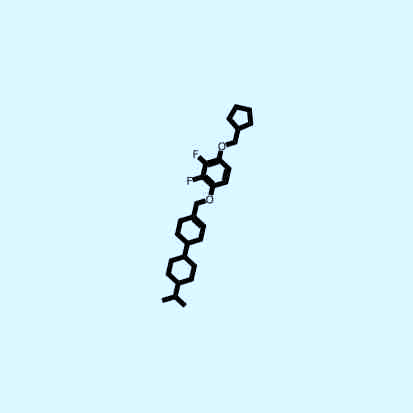 CC(C)C1CCC(C2CC=C(COc3ccc(OCC4CCCC4)c(F)c3F)CC2)CC1